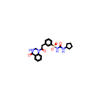 O=C(NC1CCCC1)NS(=O)(=O)c1cccc(CC(=O)N2CNC(=O)c3ccccc32)c1